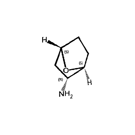 N[C@@H]1C[C@@H]2CC[C@@H]1O2